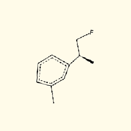 Cc1cccc([C@H](C)CF)c1